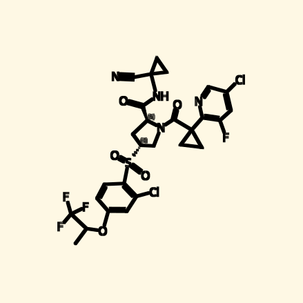 CC(Oc1ccc(S(=O)(=O)[C@@H]2C[C@@H](C(=O)NC3(C#N)CC3)N(C(=O)C3(c4ncc(Cl)cc4F)CC3)C2)c(Cl)c1)C(F)(F)F